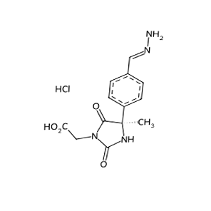 C[C@]1(c2ccc(C=NN)cc2)NC(=O)N(CC(=O)O)C1=O.Cl